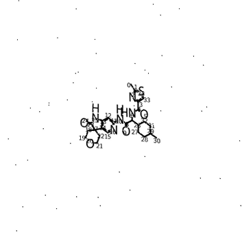 Cc1nc(C(=O)NC(C(=O)Nc2cc3c(cn2)C2(CCOCC2)C(=O)N3)C2CCC(C)CC2)cs1